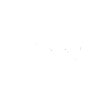 C[C@H](n1c(=O)c(NCc2ccc(S(C)(=O)=O)cn2)nc2cnc(Cl)nc21)C(F)(F)F